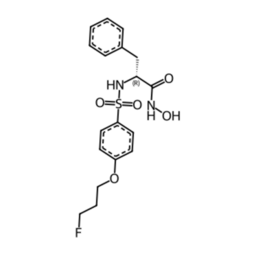 O=C(NO)[C@@H](Cc1ccccc1)NS(=O)(=O)c1ccc(OCCCF)cc1